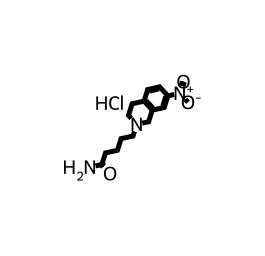 Cl.NC(=O)CCCCN1CCc2ccc([N+](=O)[O-])cc2C1